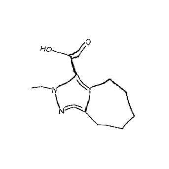 Cn1nc2c(c1C(=O)O)CCCCC2